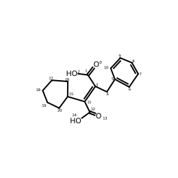 O=C(O)C(Cc1ccccc1)=C(C(=O)O)C1CCCCC1